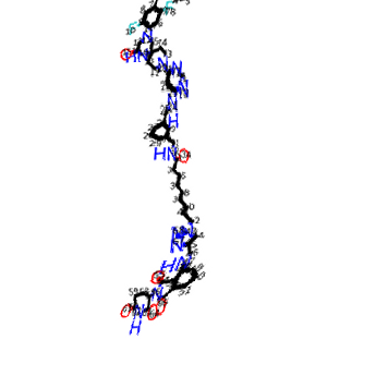 CC1(C)CCN(Cc2cc(F)c(N3CC(=O)NC4(CCN(c5cc(NCc6cccc(CNC(=O)CCCCCCCCn7cc(CNc8cccc9c8C(=O)N(C8CCC(=O)NC8=O)C9=O)nn7)c6)ncn5)CC4)C3)cc2F)CC1